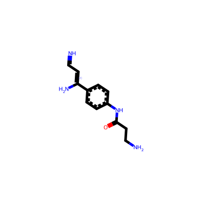 N=C/C=C(\N)c1ccc(NC(=O)CCN)cc1